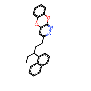 CCC(CCc1cc2c(nn1)Oc1ccccc1O2)c1cccc2ccccc12